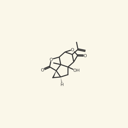 C=C(C)C1C2OC(=O)C1C1(O)C[C@H]3C[C@]34C(=O)OC2C14C